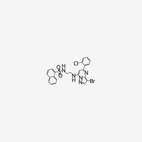 O=S(=O)(NCCNc1cc(-c2ccccc2Cl)nc2c(Br)cnn12)c1cccc2ccccc12